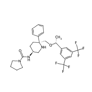 C[C@@H](OC[C@@]1(c2ccccc2)CC[C@H](NC(=O)N2CCCC2)CN1)c1cc(C(F)(F)F)cc(C(F)(F)F)c1